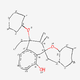 CCC(CC)(OC1CCCCC1)c1cccc(O)c1C(CC)(CC)OC1CCCCC1